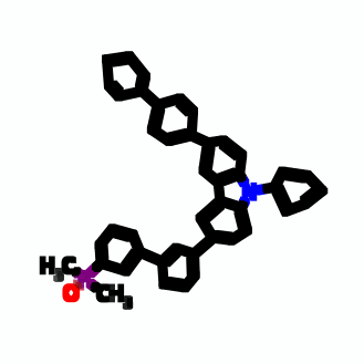 CP(C)(=O)c1cccc(-c2cccc(-c3ccc4c(c3)c3cc(-c5ccc(-c6ccccc6)cc5)ccc3n4-c3ccccc3)c2)c1